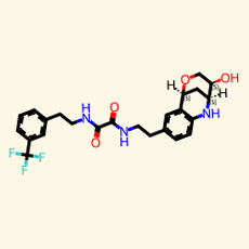 O=C(NCCc1cccc(C(F)(F)F)c1)C(=O)NCCc1ccc2c(c1)[C@@H]1C[C@H](N2)[C@H](O)CO1